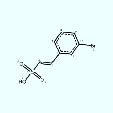 O=S(=O)(O)C=Cc1cccc(Br)c1